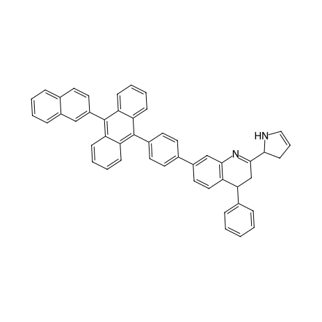 C1=CNC(C2=Nc3cc(-c4ccc(-c5c6ccccc6c(-c6ccc7ccccc7c6)c6ccccc56)cc4)ccc3C(c3ccccc3)C2)C1